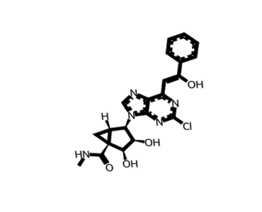 CNC(=O)[C@@]12C[C@@H]1[C@@H](n1cnc3c(/C=C(\O)c4ccccc4)nc(Cl)nc31)[C@@H](O)[C@H]2O